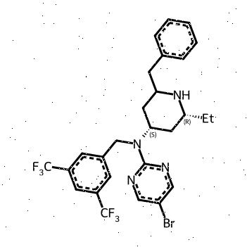 CC[C@@H]1C[C@H](N(Cc2cc(C(F)(F)F)cc(C(F)(F)F)c2)c2ncc(Br)cn2)CC(Cc2ccccc2)N1